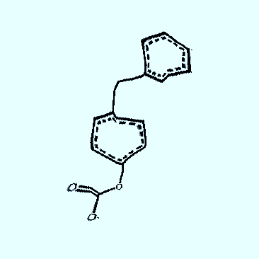 [O]C(=O)Oc1ccc(Cc2cc[c]cc2)cc1